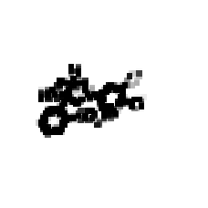 O=S(=O)(O)c1ccccc1C12CN(c3cnc(Cl)c(Cl)c3)C[C@@H]1CN2